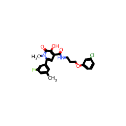 Cc1cc(F)cc(-c2cc(C(=O)NCCCOc3cccc(Cl)c3)c(O)c(=O)n2C)c1